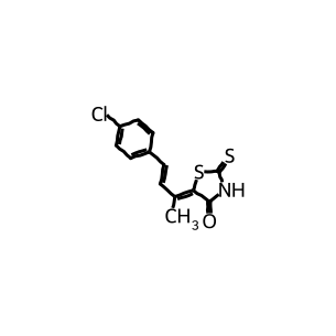 CC(C=Cc1ccc(Cl)cc1)=C1SC(=S)NC1=O